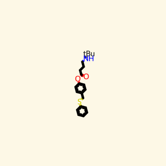 CC(C)(C)NCCCC(=O)Oc1ccc(CSc2ccccc2)cc1